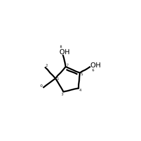 CC1(C)CCC(O)=C1O